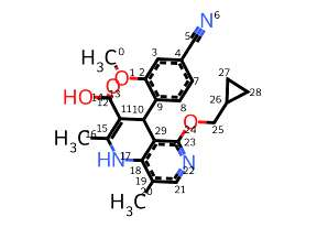 COc1cc(C#N)ccc1C1C(C(=O)O)=C(C)Nc2c(C)cnc(OCC3CC3)c21